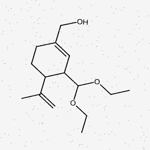 C=C(C)C1CCC(CO)=CC1C(OCC)OCC